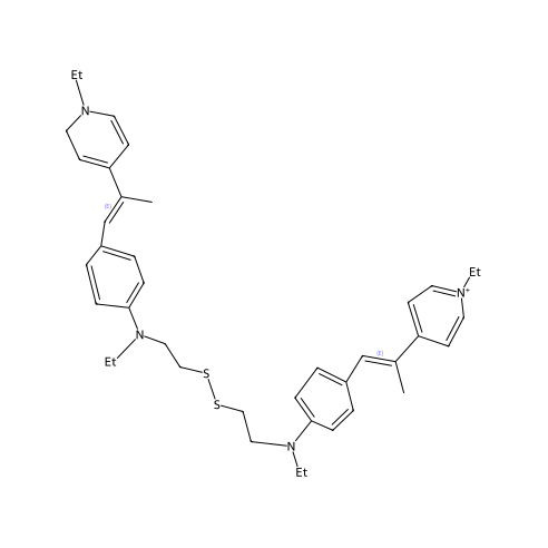 CCN1C=CC(/C(C)=C/c2ccc(N(CC)CCSSCCN(CC)c3ccc(/C=C(\C)c4cc[n+](CC)cc4)cc3)cc2)=CC1